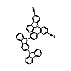 N#Cc1ccc(-n2c3ccccc3c3cc(C#N)ccc32)c(-c2ccc(-n3c4ccccc4c4ccc(-n5c6ccccc6c6ccccc65)cc43)cc2)c1